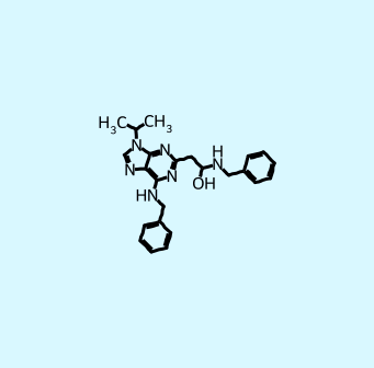 CC(C)n1cnc2c(NCc3ccccc3)nc(CC(O)NCc3ccccc3)nc21